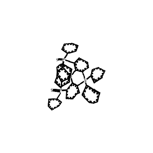 S=P(c1ccccc1)(c1ccccc1)c1cccc2c1Oc1c(cccc1P(=S)(c1ccccc1)c1ccccc1)[Si]2(c1ccccc1)c1ccccc1